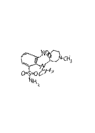 CN1CCOC(N(C)c2c([N+](=O)[O-])cccc2S(N)(=O)=O)C1